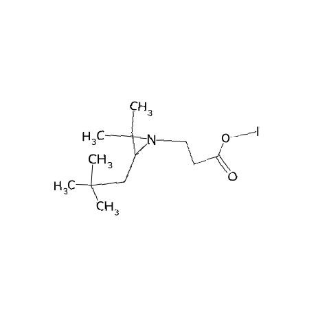 CC(C)(C)CC1N(CCC(=O)OI)C1(C)C